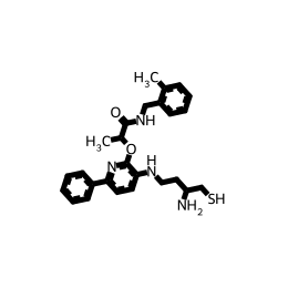 Cc1ccccc1CNC(=O)C(C)Oc1nc(-c2ccccc2)ccc1NCCC(N)CS